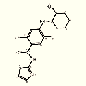 N[C@H]1CCCC[C@@H]1Nc1cc(F)c([S+]([O-])Nc2nccs2)cc1Cl